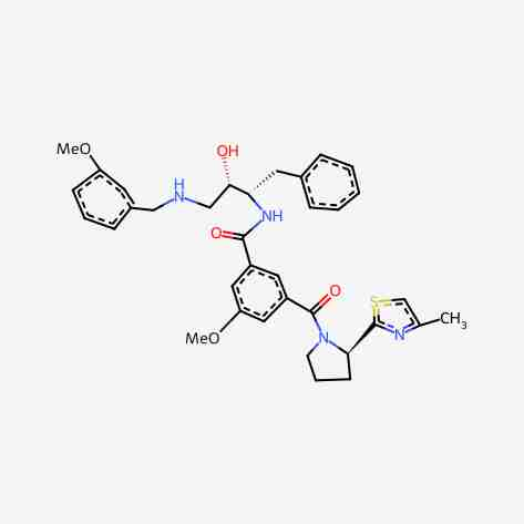 COc1cccc(CNC[C@H](O)[C@H](Cc2ccccc2)NC(=O)c2cc(OC)cc(C(=O)N3CCC[C@@H]3c3nc(C)cs3)c2)c1